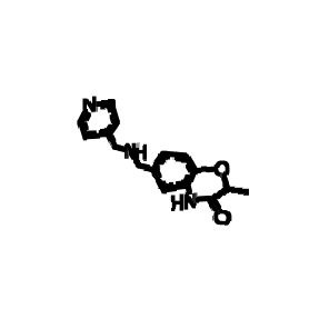 CC1Oc2ccc(CNCc3ccncc3)cc2NC1=O